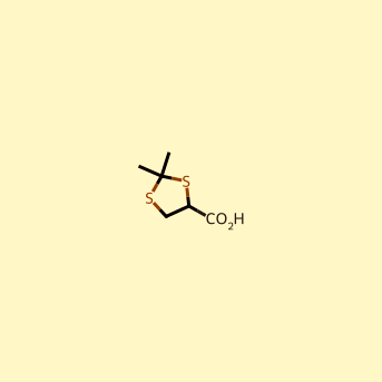 CC1(C)SCC(C(=O)O)S1